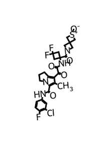 Cc1c(C(=O)C(=O)NC2(C(=O)N3CC4(C3)C[S+]([O-])C4)CC(F)(F)C2)c2n(c1C(=O)Nc1ccc(F)c(Cl)c1)CCC2